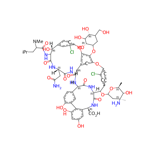 CNC(CC(C)C)C(=O)NC1C(=O)N[C@@H](CC(N)=O)C(=O)N[C@H]2C(=O)N[C@H]3C(=O)N[C@H](C(=O)N[C@@H](C(=O)O)c4cc(O)cc(O)c4-c4cc3ccc4O)C(OC3C[C@](C)(N)C(O)[C@H](C)O3)c3ccc(c(Cl)c3)Oc3cc2cc(c3OC2CC(CO)[C@@H](O)C(O)[C@H]2O)Oc2ccc(cc2Cl)[C@H]1O